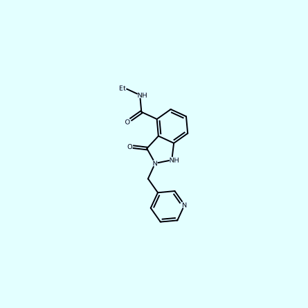 CCNC(=O)c1cccc2[nH]n(Cc3cccnc3)c(=O)c12